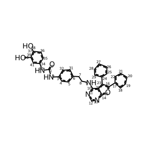 O=C(Nc1ccc(CCNc2ncnc3oc(-c4ccccc4)c(-c4ccccc4)c23)cc1)Nc1ccc(O)c(O)c1